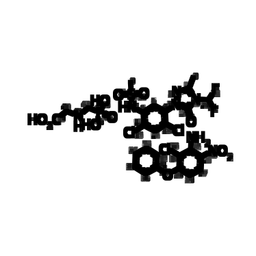 Cc1nn(-c2cc(NS(C)(=O)=O)c(Cl)cc2Cl)c(=O)n1C(F)F.Nc1c([N+](=O)[O-])ccc(Oc2ccccc2)c1Cl.O=C(O)CNCP(=O)(O)O